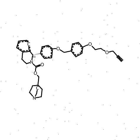 C#CCOCCOc1ccc(COc2ccc([C@H]3c4ccccc4CCN3C(=O)OCC34CCN(CC3)CC4)cc2)cc1